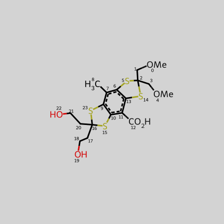 COCC1(COC)Sc2c(C)c3c(c(C(=O)O)c2S1)SC(CCO)(CCO)S3